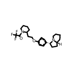 O=C(N1CCCCC1CCOc1ccc([C@H]2CC[C@H]3CCCCN32)cc1)C(F)(F)F